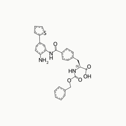 Nc1ccc(-c2cccs2)cc1NC(=O)c1ccc(C[C@H](NC(=O)OCc2ccccc2)C(=O)O)cc1